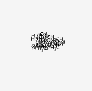 CC[C@H](C)[C@@H]([C@@H](CC(=O)N1CCC[C@@H]1[C@H](OC)[C@@H](C)C(=O)N[C@H](C)C[C@]1(O)C=CC=CC1)OC)N(C)C(=O)[C@@H](NC(=O)[C@H](C(C)C)N(C)C(=O)OC[C@@H](C)SSc1ccccn1)C(C)C